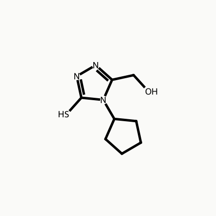 OCc1nnc(S)n1C1CCCC1